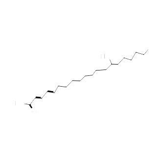 CCCCCCC(O)CCCCCCCCC=CC=CC(=O)O